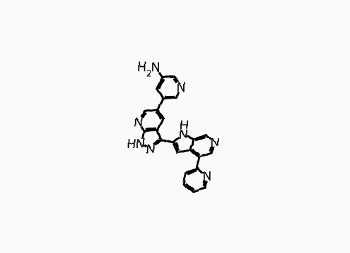 Nc1cncc(-c2cnc3[nH]nc(-c4cc5c(-c6ccccn6)cncc5[nH]4)c3c2)c1